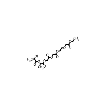 CCOC(=O)COCCOC(=O)COC(=O)COC(=O)C(C)OC(=O)C(C)O